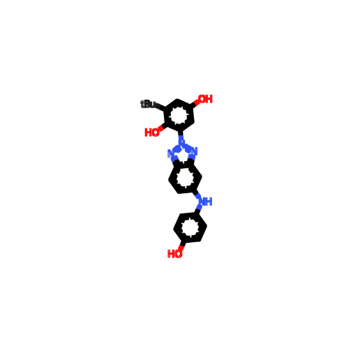 CC(C)(C)c1cc(O)cc(-n2nc3ccc(Nc4ccc(O)cc4)cc3n2)c1O